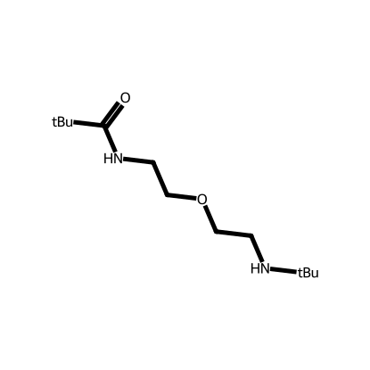 CC(C)(C)NCCOCCNC(=O)C(C)(C)C